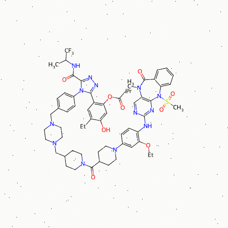 CCOc1cc(N2CCC(C(=O)N3CCC(CN4CCN(Cc5ccc(-n6c(C(=O)NC(C)C(F)(F)F)nnc6-c6cc(CC)c(O)cc6OC(=O)C(C)C)cc5)CC4)CC3)CC2)ccc1Nc1ncc2c(n1)N(S(C)(=O)=O)c1ccccc1C(=O)N2C